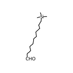 C[Si](C)(C)CCCCCCCCCCC=O